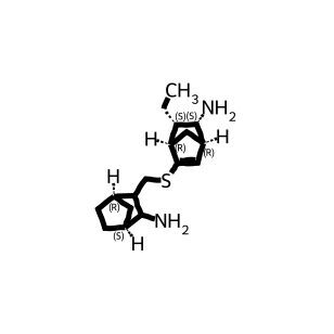 CC[C@@H]1[C@H](N)[C@H]2C=C(SCC3C(N)[C@H]4CC[C@@H]3C4)[C@@H]1C2